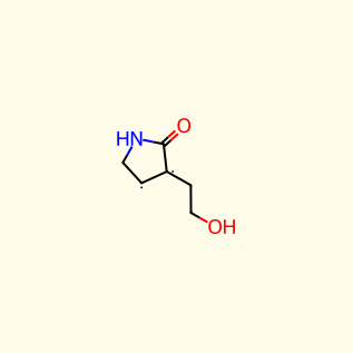 O=C1NC[CH][C]1CCO